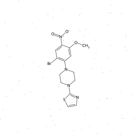 COc1cc(N2CCN(c3nccs3)CC2)c(Br)cc1[N+](=O)[O-]